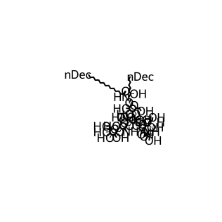 CCCCCCCCCCCCC/C=C/[C@@H](O)[C@H](CO[C@@H]1OC(CO)[C@@H](O[C@@H]2OC(CO)[C@H](O[C@@H]3OC(CO)[C@H](O)[C@H](O[C@@H]4OC(CO)[C@H](O)[C@H](O)C4O)C3NC(C)=O)[C@H](O[C@]3(C(=O)O)CC(O)[C@@H](NC(=O)CO)C([C@H](O)[C@H](O)CO)O3)C2O)[C@H](O)C1O)NC(=O)CCCCCCCCCCCCCCCCCCCCCCC